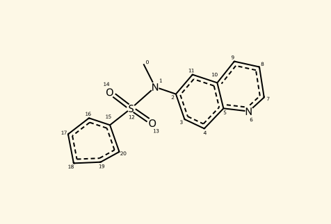 CN(c1ccc2ncccc2c1)S(=O)(=O)c1ccccc1